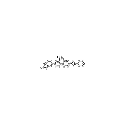 Cc1cn2nc(-c3ccc(-c4ccc(C5CN(C6CCOCC6)C5)nn4)c(O)c3)ccc2n1.Cl